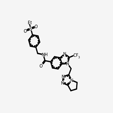 CCS(=O)(=O)c1ccc(CNC(=O)c2ccc3c(c2)nc(C(F)(F)F)n3Cc2nnc3n2CCC3)cc1